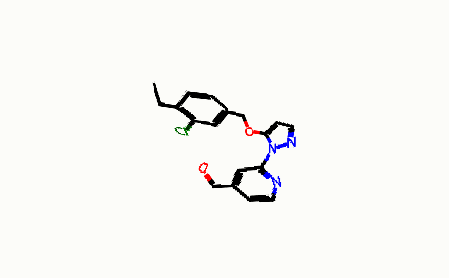 CCc1ccc(COc2ccnn2-c2cc(C=O)ccn2)cc1Cl